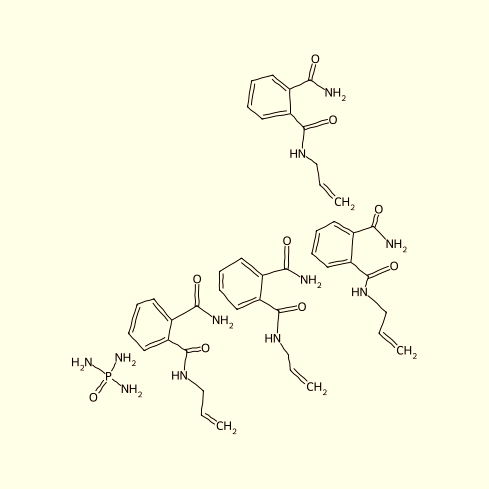 C=CCNC(=O)c1ccccc1C(N)=O.C=CCNC(=O)c1ccccc1C(N)=O.C=CCNC(=O)c1ccccc1C(N)=O.C=CCNC(=O)c1ccccc1C(N)=O.NP(N)(N)=O